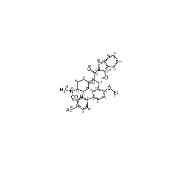 CCOc1ccc(-c2ccc(C(C)=O)cc2)cc1CN(C(=O)c1sc2ccccc2c1Cl)C1CCC(N(C)C(=O)O)CC1